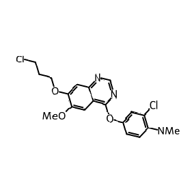 CNc1ccc(Oc2ncnc3cc(OCCCCl)c(OC)cc23)cc1Cl